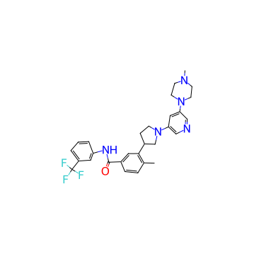 Cc1ccc(C(=O)Nc2cccc(C(F)(F)F)c2)cc1C1CCN(c2cncc(N3CCN(C)CC3)c2)C1